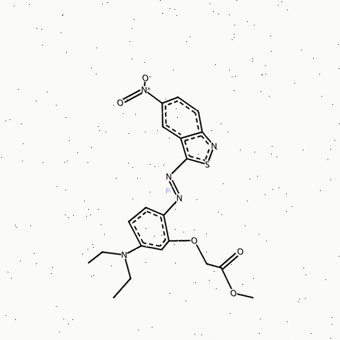 CCN(CC)c1ccc(/N=N/c2snc3ccc([N+](=O)[O-])cc23)c(OCC(=O)OC)c1